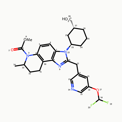 COC(=O)N1c2ccc3c(nc(Cc4cncc(OC(F)F)c4)n3[C@@H]3CCC[C@@H](C(=O)O)C3)c2CCC1C